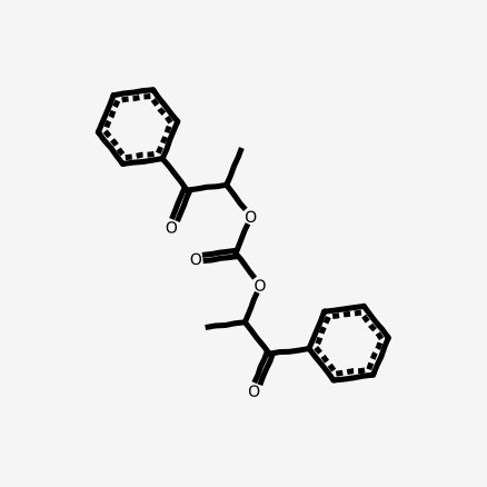 CC(OC(=O)OC(C)C(=O)c1ccccc1)C(=O)c1ccccc1